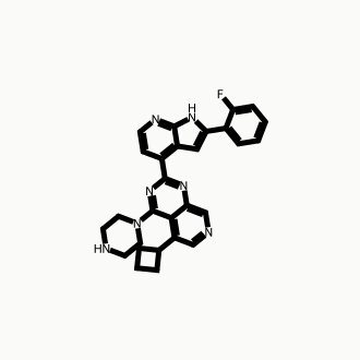 Fc1ccccc1-c1cc2c(-c3nc(N4CCNCC4)c4c(C5CCC5)cncc4n3)ccnc2[nH]1